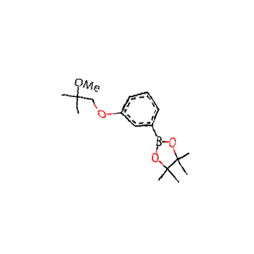 COC(C)(C)COc1cccc(B2OC(C)(C)C(C)(C)O2)c1